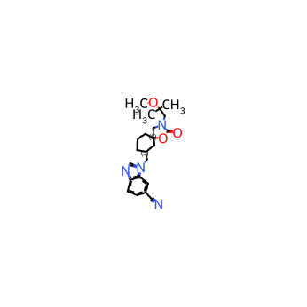 COC(C)(C)CN1C[C@@]2(CCC[C@H](Cn3cnc4ccc(C#N)cc43)C2)OC1=O